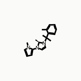 Cc1ccccc1C(C)(C)N1C=CN(c2cccn2C)[C@H]1C